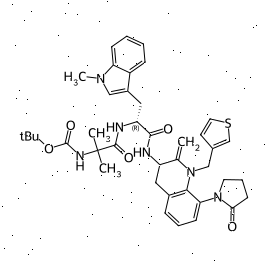 C=C1C(NC(=O)[C@@H](Cc2cn(C)c3ccccc23)NC(=O)C(C)(C)NC(=O)OC(C)(C)C)Cc2cccc(N3CCCC3=O)c2N1Cc1ccsc1